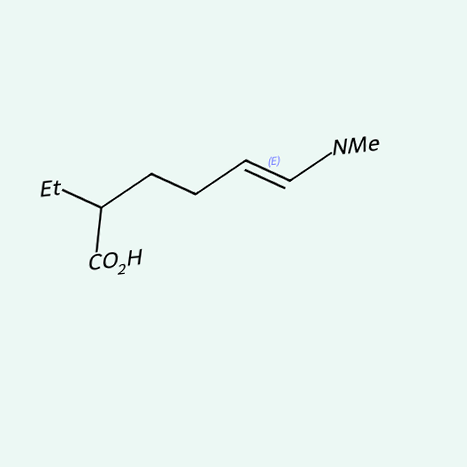 CCC(CC/C=C/NC)C(=O)O